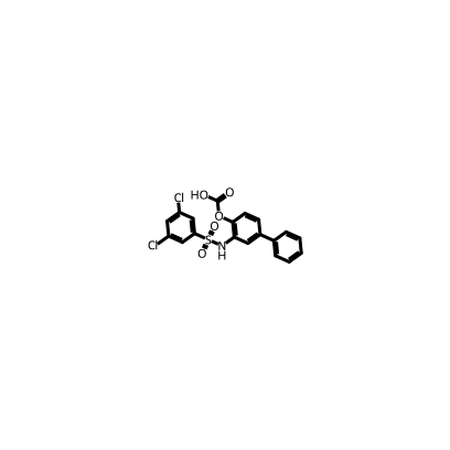 O=C(O)Oc1ccc(-c2ccccc2)cc1NS(=O)(=O)c1cc(Cl)cc(Cl)c1